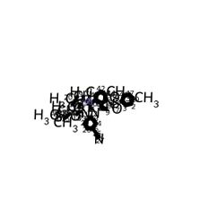 Cc1ccc(S(=O)(=O)n2ccc3c(/C(=N/[S+]([O-])C(C)(C)C)c4nc5cc(C#N)ccc5n4COCC[Si](C)(C)C)c(C)cc(C)c32)cc1